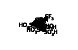 O=CN(c1cc(NC(=O)Nc2cccc(C(F)(F)F)c2)cc(N(C=O)c2cc(S(=O)(=O)O)cc3cc(S(=O)(=O)O)cc(S(=O)(=O)O)c23)c1)c1cc(S(=O)(=O)O)cc2cc(S(=O)(=O)O)cc(S(=O)(=O)O)c12